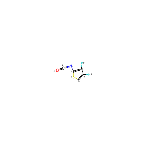 O=C=Nc1scc(F)c1F